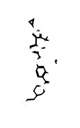 Cn1c(-c2cn(C3CC3)nc2C(F)(F)F)cnc1C(=O)Nc1ccc(C(=O)N2CCC(CCN)CC2)c(Cl)c1.O=CO